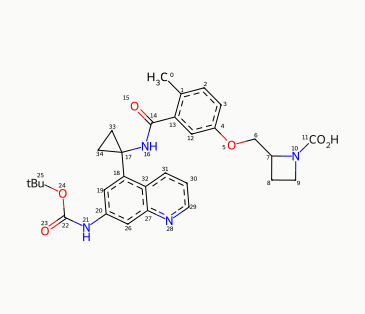 Cc1ccc(OCC2CCN2C(=O)O)cc1C(=O)NC1(c2cc(NC(=O)OC(C)(C)C)cc3ncccc23)CC1